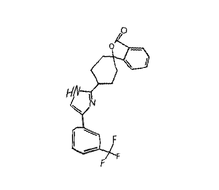 O=C1OC2(CCC(c3nc(-c4cccc(C(F)(F)F)c4)c[nH]3)CC2)c2ccccc21